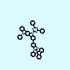 c1ccc(-c2nc(-c3ccccc3)nc(-n3c4ccc(-c5ccc6c(c5)nc5n6-c6ccccc6C56c5ccccc5-c5ccccc56)cc4c4cc5c(cc43)c3ccccc3n5-c3ccccc3)n2)cc1